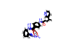 CC(CCC(=O)Nc1ccc(C(=O)Nc2ccccc2N)cc1)c1cccnc1